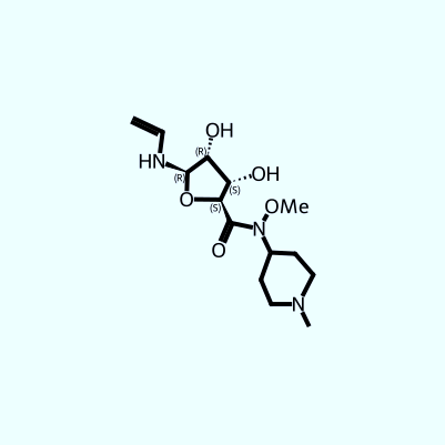 C=CN[C@@H]1O[C@H](C(=O)N(OC)C2CCN(C)CC2)[C@@H](O)[C@H]1O